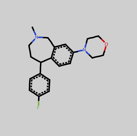 CN1CCC(c2ccc(F)cc2)c2ccc(N3CCOCC3)cc2C1